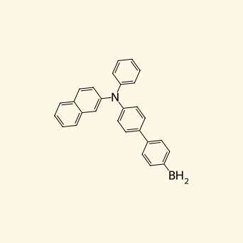 Bc1ccc(-c2ccc(N(c3ccccc3)c3ccc4ccccc4c3)cc2)cc1